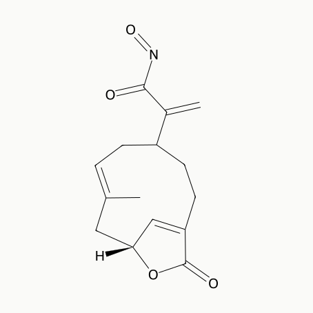 C=C(C(=O)N=O)C1C/C=C(\C)C[C@@H]2C=C(CC1)C(=O)O2